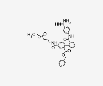 CCOC(=O)CCCNC(=O)c1ccc(-c2ccccc2C(=O)Nc2ccc(C(=N)N)cc2)c(C(=O)OCc2ccccc2)c1